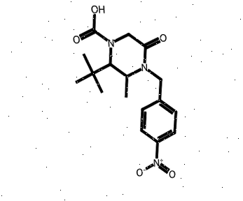 CC1C(C(C)(C)C)N(C(=O)O)CC(=O)N1Cc1ccc([N+](=O)[O-])cc1